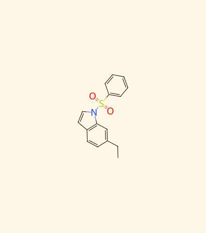 CCc1ccc2ccn(S(=O)(=O)c3ccccc3)c2c1